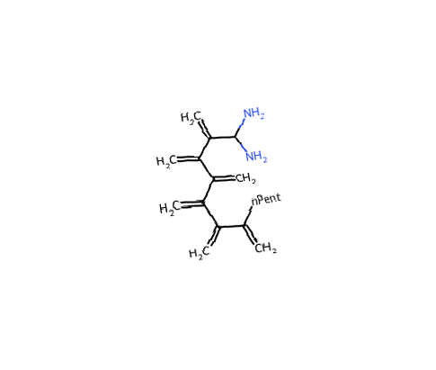 C=C(CCCCC)C(=C)C(=C)C(=C)C(=C)C(=C)C(N)N